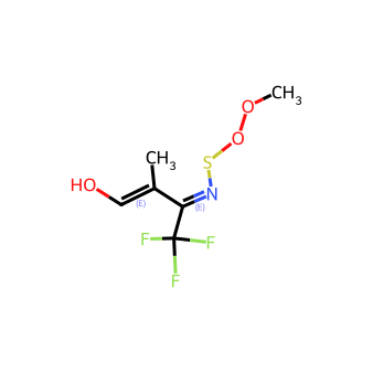 COOS/N=C(\C(C)=C\O)C(F)(F)F